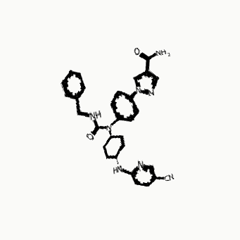 N#Cc1ccc(N[C@H]2CC[C@H](N(C(=O)NCc3ccccc3)c3ccc(-n4cc(C(N)=O)cn4)cc3)CC2)nc1